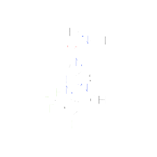 CCc1cc(F)cc(C(F)(F)F)c1Nc1nccc2c1ccn2CC(=O)N(C)C